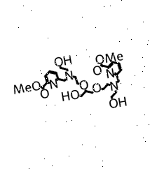 COC(=O)c1cccc(CN(CCO)CCOCC(CO)OCCN(CCO)Cc2cccc(C(=O)OC)n2)n1